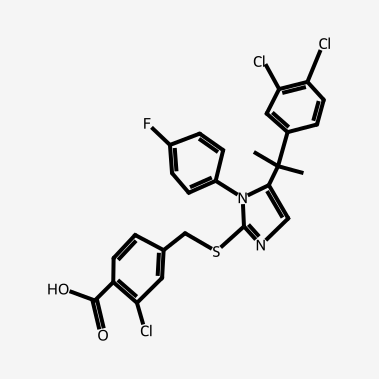 CC(C)(c1ccc(Cl)c(Cl)c1)c1cnc(SCc2ccc(C(=O)O)c(Cl)c2)n1-c1ccc(F)cc1